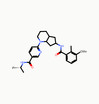 COc1cccc(C(=O)NC2CC3CCCN(c4ccc(C(=O)N[C@H](C)C(C)C)cn4)C3C2)c1C